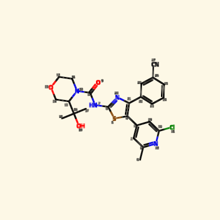 Cc1cc(-c2sc(NC(=O)N3CCOCC3C(C)(C)O)nc2-c2cccc(C#N)c2)cc(Cl)n1